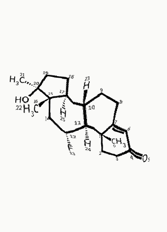 C[C@]12CCC(=O)C=C1CC[C@@H]1[C@@H]2[C@H](F)C[C@@]2(C)[C@H]1CC[C@]2(C)O